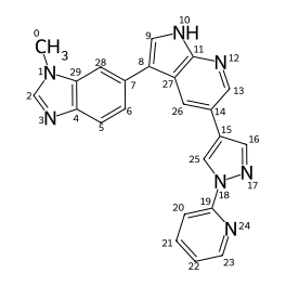 Cn1cnc2ccc(-c3c[nH]c4ncc(-c5cnn(-c6ccccn6)c5)cc34)cc21